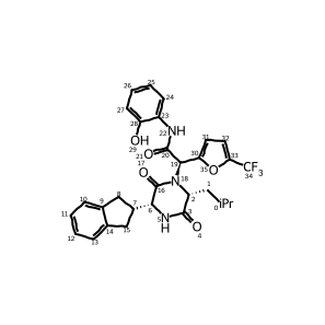 CC(C)C[C@@H]1C(=O)N[C@H](C2Cc3ccccc3C2)C(=O)N1[C@@H](C(=O)Nc1ccccc1O)c1ccc(C(F)(F)F)o1